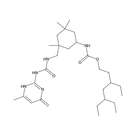 C=C1C=C(C)NC(NC(=O)NCC2(C)CC(NC(=O)OCCC(CC)CC(CC)CC)CC(C)(C)C2)=N1